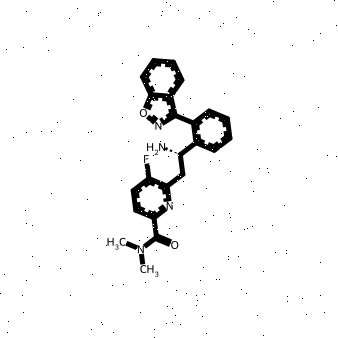 CN(C)C(=O)c1ccc(F)c(C[C@H](N)c2ccccc2-c2noc3ccccc23)n1